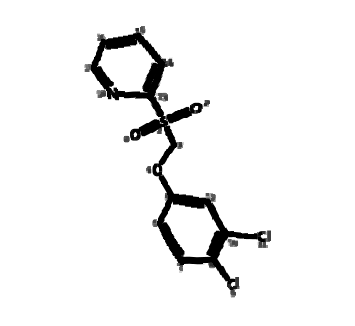 O=S(=O)(COc1ccc(Cl)c(Cl)c1)c1ccccn1